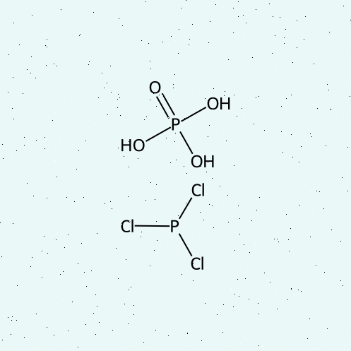 ClP(Cl)Cl.O=P(O)(O)O